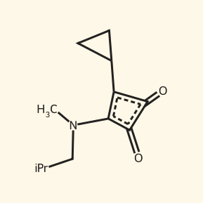 CC(C)CN(C)c1c(C2CC2)c(=O)c1=O